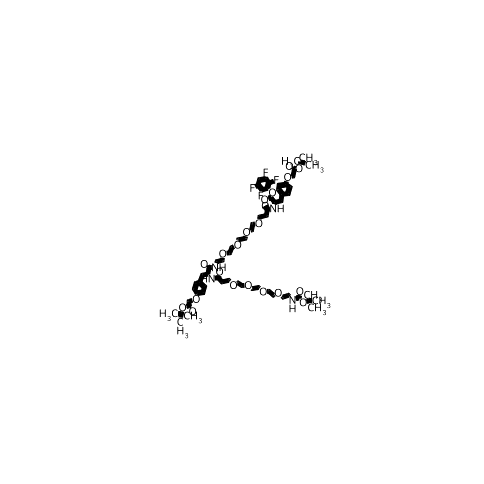 CC(C)(C)OC(=O)COc1ccc(CC(NC(=O)CCOCCOCCOCCOCCNC(=O)OC(C)(C)C)C(=O)NCCOCCOCCOCCOCCC(=O)NC(Cc2ccc(OCC(=O)OC(C)(C)C)cc2)C(=O)Oc2c(F)c(F)cc(F)c2F)cc1